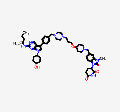 CCC[C@H](C)Nc1ncc2c(-c3ccc(CN4CCN(CCCOC5CCN(Cc6ccc7c(c6)n(C)c(=O)n7C6CCC(=O)NC6=O)CC5)CC4)cc3)cn([C@H]3CC[C@H](O)CC3)c2n1